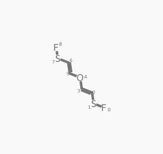 FSC=COC=CSF